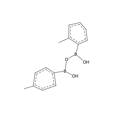 Cc1ccc(B(O)OB(O)c2ccccc2C)cc1